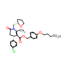 CC1=C(C(=O)OCc2ccc(OCCCS(=O)(=O)O)cc2)[C@H](c2ccc(Cl)cc2)CC(=O)N1C[C@@H]1CCCO1